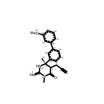 C#CCC1C(=O)N(C)C(=N)N[C@]1(C)c1cccc(-c2cccc(OC)c2)c1